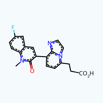 Cn1c(=O)c(-c2ccc(CCC(=O)O)n3ccnc23)cc2cc(F)ccc21